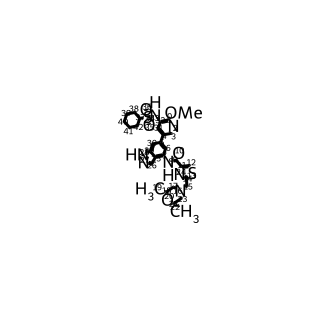 COc1ncc(-c2cc(NC(=O)c3csc(CN4C[C@@H](C)O[C@@H](C)C4)n3)c3cn[nH]c3c2)cc1NS(=O)(=O)C1CCCCC1